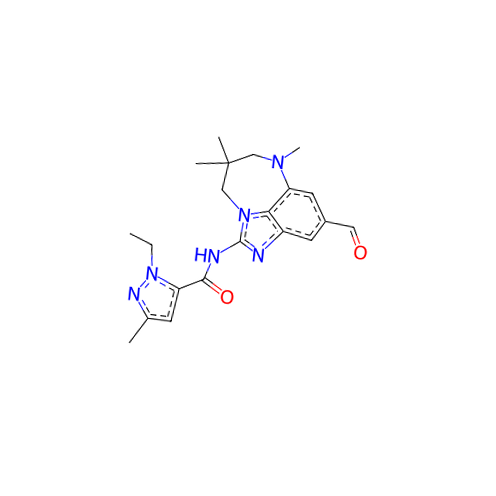 CCn1nc(C)cc1C(=O)Nc1nc2cc(C=O)cc3c2n1CC(C)(C)CN3C